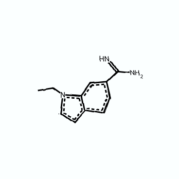 CCn1[c]cc2ccc(C(=N)N)cc21